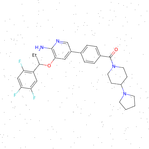 CCC(Oc1cc(-c2ccc(C(=O)N3CCC(N4CCCC4)CC3)cc2)cnc1N)c1cc(F)c(F)cc1F